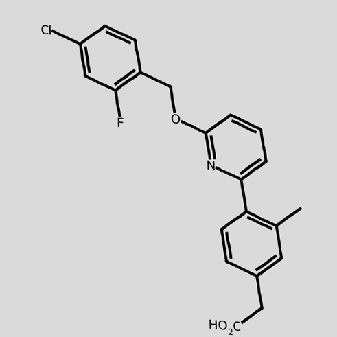 Cc1cc(CC(=O)O)ccc1-c1cccc(OCc2ccc(Cl)cc2F)n1